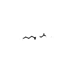 CCCCC(CC)COC(=O)CCCCl